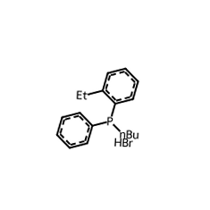 Br.CCCCP(c1ccccc1)c1ccccc1CC